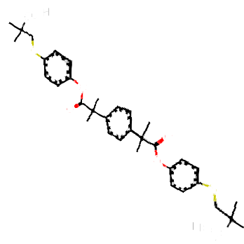 CC(C)(CSc1ccc(OC(=O)C(C)(C)c2ccc(C(C)(C)C(=O)Oc3ccc(SCC(C)(C)C(=O)O)cc3)cc2)cc1)C(=O)O